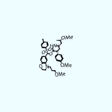 COCCCN1CCOc2ccc(C(O[C@H]3CN[C@@H](CC(C)OC)C[C@@H]3c3ccc(OC)cc3)S(=O)(=O)c3ccc(C)cc3)cc21